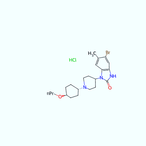 CCCO[C@H]1CC[C@H](N2CCC(n3c(=O)[nH]c4cc(Br)c(C)cc43)CC2)CC1.Cl